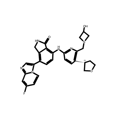 O=C1NCc2c(-c3cnc4cc(F)ccn34)ccc(Nc3ccc([C@@H]4CCOC4)c(CN4CC(O)C4)n3)c21